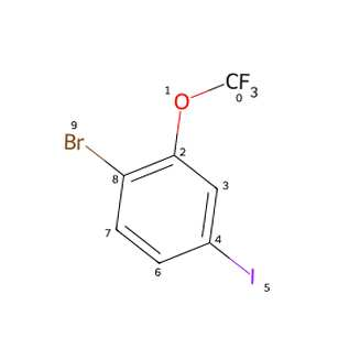 FC(F)(F)Oc1cc(I)ccc1Br